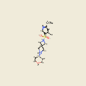 COc1cc(C)c(S(=O)(=O)N2CC3(CN(C4CCOCC4)C3)C2)cn1